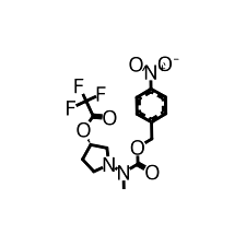 CN(C(=O)OCc1ccc([N+](=O)[O-])cc1)N1CC[C@H](OC(=O)C(F)(F)F)C1